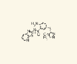 Cn1cnnc1Sc1ccc(N)c(C(=O)Nc2nc3cccnc3s2)c1